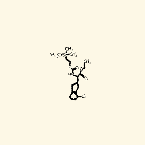 CCOC(=O)C(NC(=O)OCC[Si](C)(C)C)C1Cc2cccc(Cl)c2C1